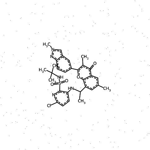 Cc1cc(C(C)Nc2ccc(Cl)nc2S(=O)(=O)NC(C)(C)C)c2oc(-c3ccc4nn(C)cc4c3)c(C)c(=O)c2c1